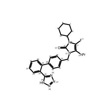 CCCc1c(F)n(C2CCCCC2)c(=O)n1Cc1ccc(-c2ccccc2-c2nnn[nH]2)cc1